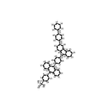 FC(F)(F)c1ccc(-c2c3ccccc3c(-c3ccc(-n4c5ccccc5c5cc(-c6ccc(-c7ccccc7)cc6)ccc54)cc3)c3ccccc23)cc1